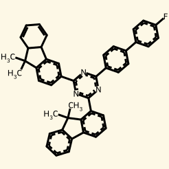 CC1(C)c2ccccc2-c2cccc(-c3nc(-c4ccc(-c5ccc(F)cc5)cc4)nc(-c4ccc5c(c4)C4C=CC=CC4C5(C)C)n3)c21